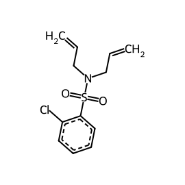 C=CCN(CC=C)S(=O)(=O)c1ccccc1Cl